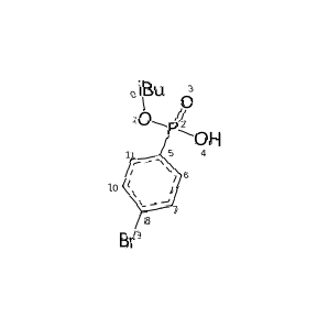 CCC(C)OP(=O)(O)c1ccc(Br)cc1